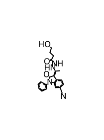 C/C(NNC(=O)CCCO)=C1/C(=O)N(c2ccccc2)c2cc(C#N)ccc21